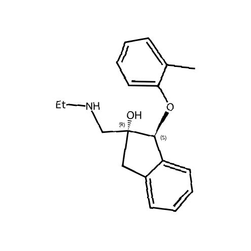 CCNC[C@]1(O)Cc2ccccc2[C@@H]1Oc1ccccc1C